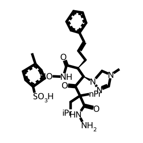 CCCC(CC(C)C)(C(=O)NN)C(=O)[C@@H]([C@H](C/C=C/c1ccccc1)C(=O)NO)N1CN(C)C=N1.Cc1ccc(S(=O)(=O)O)cc1